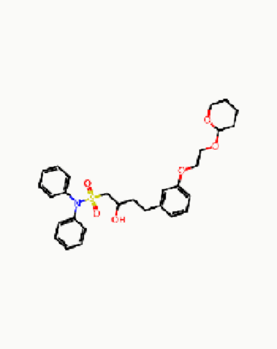 O=S(=O)(CC(O)CCc1cccc(OCCOC2CCCCO2)c1)N(c1ccccc1)c1ccccc1